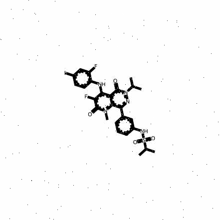 CC(C)n1nc(-c2cccc(NS(=O)(=O)C(C)C)c2)c2c(c(Nc3ccc(I)cc3F)c(F)c(=O)n2C)c1=O